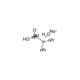 CCCP(CCC)CCC.O.[Na+].[O-]BO